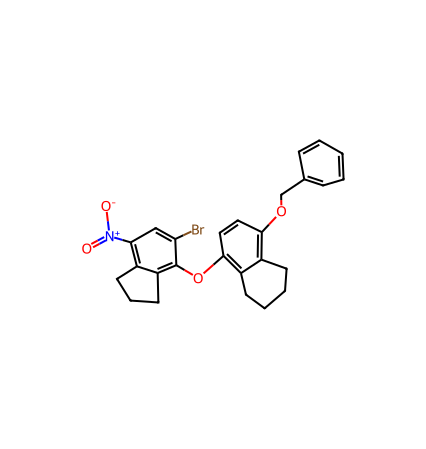 O=[N+]([O-])c1cc(Br)c(Oc2ccc(OCc3ccccc3)c3c2CCCC3)c2c1CCC2